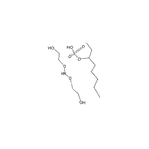 CCCCCC(CC)OS(=O)(=O)O.OCCONOCCO